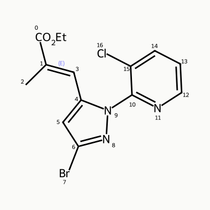 CCOC(=O)/C(C)=C/c1cc(Br)nn1-c1ncccc1Cl